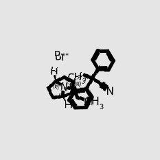 CCC[N+]1(C)[C@@H]2CC[C@H]1C[C@@H](CC(C#N)(c1ccccc1)c1ccccc1)C2.[Br-]